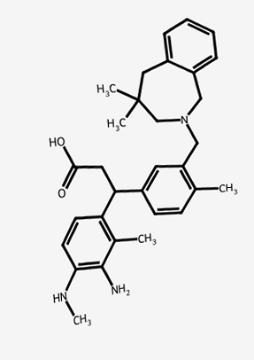 CNc1ccc(C(CC(=O)O)c2ccc(C)c(CN3Cc4ccccc4CC(C)(C)C3)c2)c(C)c1N